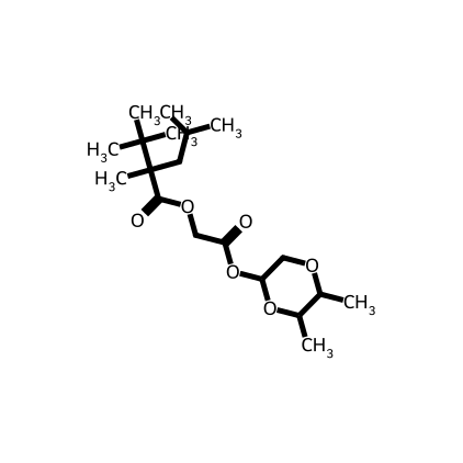 CC(C)CC(C)(C(=O)OCC(=O)OC1COC(C)C(C)O1)C(C)(C)C